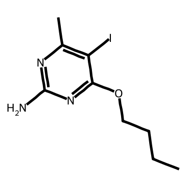 CCCCOc1nc(N)nc(C)c1I